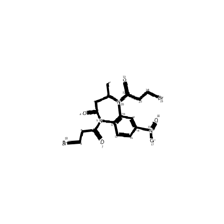 CC1CC(=O)N(C(=O)CCBr)c2ccc([N+](=O)[O-])cc2N1C(=O)CCBr